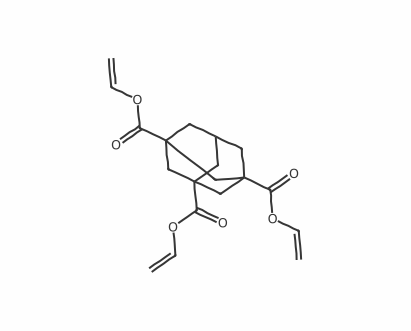 C=COC(=O)C12CC3CC(C(=O)OC=C)(C1)CC(C(=O)OC=C)(C3)C2